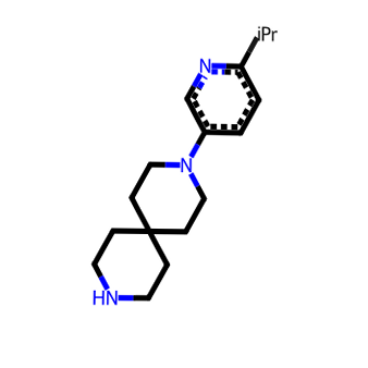 CC(C)c1ccc(N2CCC3(CCNCC3)CC2)cn1